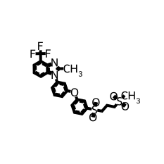 Cc1nc2c(C(F)(F)F)cccc2n1-c1cccc(Oc2cccc(S(=O)(=O)CCCS(C)(=O)=O)c2)c1